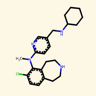 CN(c1ccc(CNC2CCCCC2)cn1)c1c(Cl)ccc2c1CCNCC2